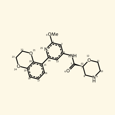 COc1cc(NC(=O)[C@@H]2CNCCO2)cc(-c2cccc3c2OCCO3)n1